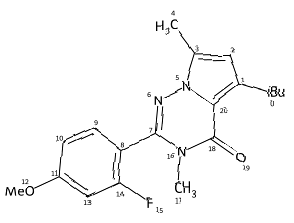 CCC(C)c1cc(C)n2nc(-c3ccc(OC)cc3F)n(C)c(=O)c12